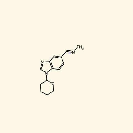 C/N=C/c1ccc2c(c1)ncn2C1CCCCO1